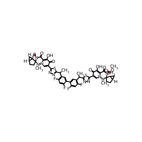 COC(=O)[C@]12C[C@H]1CCC21N(C)C(=O)c2c(O)c(=O)c(-c3nnc(C(C)c4cc(-c5cc(C(C)c6nnc(-c7cn8c(c(O)c7=O)C(=O)N(C)C7(CC[C@H]9C[C@H]97)N8C)s6)c(F)cc5F)c(F)cc4F)s3)cn2N1C